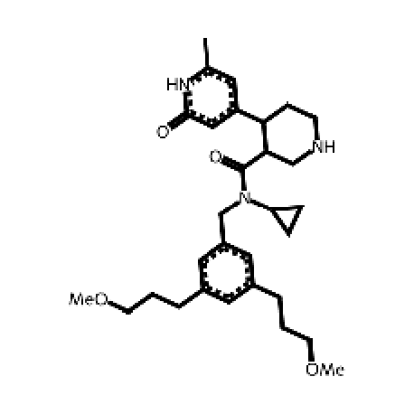 COCCCc1cc(CCCOC)cc(CN(C(=O)C2CNCCC2c2cc(C)[nH]c(=O)c2)C2CC2)c1